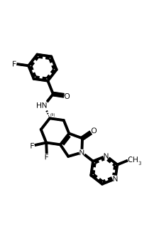 Cc1nccc(N2CC3=C(C[C@@H](NC(=O)c4cccc(F)c4)CC3(F)F)C2=O)n1